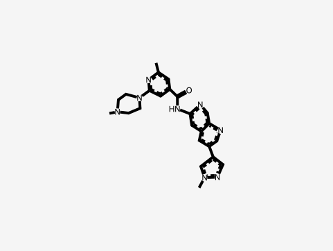 Cc1cc(C(=O)Nc2cc3cc(-c4cnn(C)c4)cnc3cn2)cc(N2CCN(C)CC2)n1